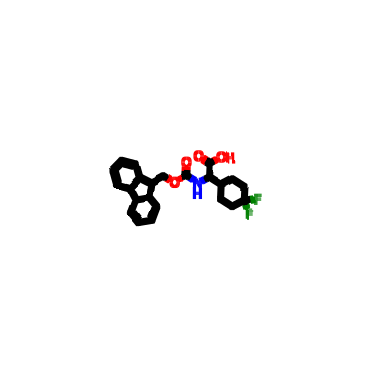 O=C(NC(C(=O)O)C1CCC(F)(F)CC1)OCC1C2C=CC=CC2C2C=CC=CC21